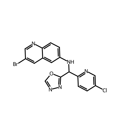 Clc1ccc(C(Nc2ccc3ncc(Br)cc3c2)c2nnco2)nc1